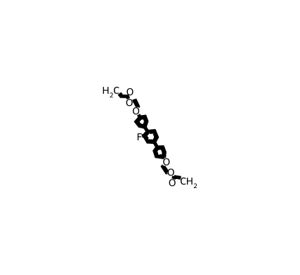 C=CC(=O)O/C=C\Oc1ccc(-c2ccc(-c3ccc(O/C=C\OC(=O)C=C)cc3)c(F)c2)cc1